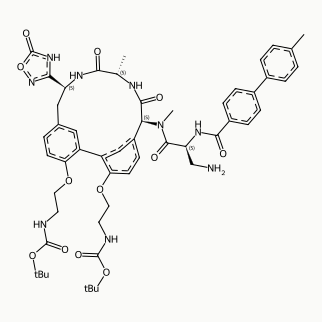 Cc1ccc(-c2ccc(C(=O)N[C@@H](CN)C(=O)N(C)[C@@H]3C(=O)N[C@@H](C)C(=O)N[C@H](c4noc(=O)[nH]4)Cc4ccc(OCCNC(=O)OC(C)(C)C)c(c4)-c4cc3ccc4OCCNC(=O)OC(C)(C)C)cc2)cc1